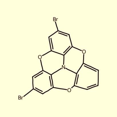 Brc1cc2c3c(c1)Oc1cc(Br)cc4c1N3c1c(cccc1O4)O2